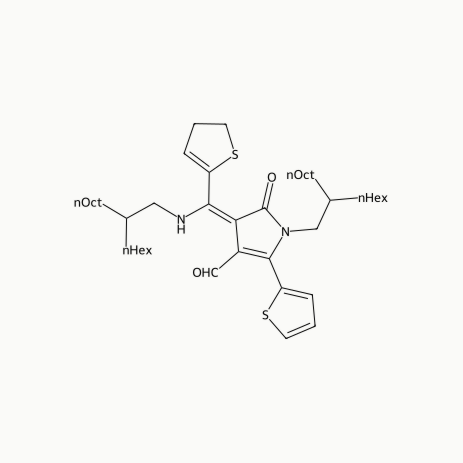 CCCCCCCCC(CCCCCC)CN/C(C1=CCCS1)=C1/C(=O)N(CC(CCCCCC)CCCCCCCC)C(c2cccs2)=C1C=O